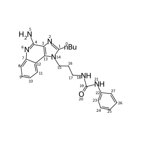 CCCCc1nc2c(N)nc3ccccc3c2n1CCCNC(=O)Nc1ccccc1